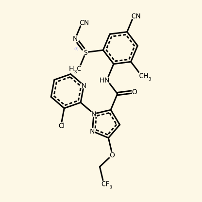 Cc1cc(C#N)cc(/S(C)=N\C#N)c1NC(=O)c1cc(OCC(F)(F)F)nn1-c1ncccc1Cl